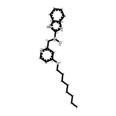 CCCCCCCCOc1ccnc(C[S+]([O-])c2nc3ccccc3[nH]2)c1